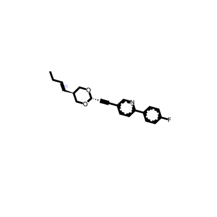 CC/C=C/[C@H]1CO[C@H](C#Cc2ccc(-c3ccc(F)cc3)nc2)OC1